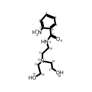 Nc1ccccc1C(=O)NCCN(CCO)CCO